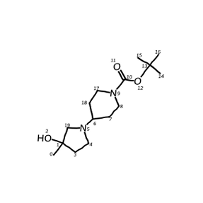 CC1(O)CCN(C2CCN(C(=O)OC(C)(C)C)CC2)C1